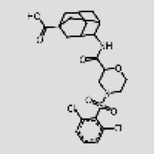 O=C(NC1C2CC3CC1CC(C(=O)O)(C3)C2)C1CN(S(=O)(=O)c2c(Cl)cccc2Cl)CCO1